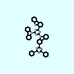 c1ccc(-c2nc(-c3ccccc3)nc(-c3ccc4c(c3)c3ccccc3n4-c3nc(-c4cccc5c4sc4ccccc45)nc(-n4c5ccccc5c5ccccc54)n3)n2)cc1